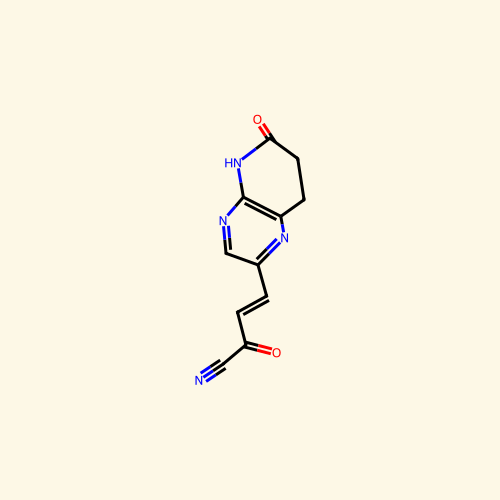 N#CC(=O)/C=C/c1cnc2c(n1)CCC(=O)N2